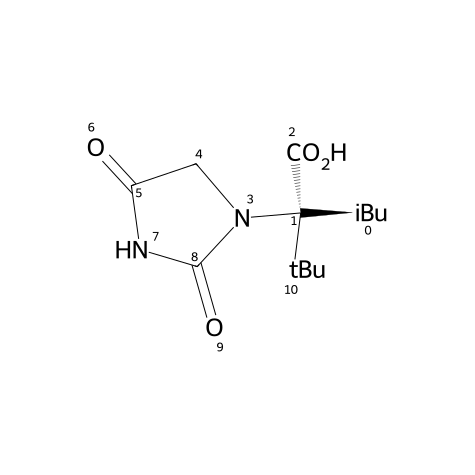 CC[C@H](C)[C@](C(=O)O)(N1CC(=O)NC1=O)C(C)(C)C